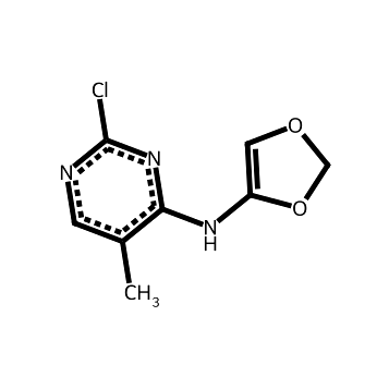 Cc1cnc(Cl)nc1NC1=COCO1